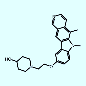 Cc1c2ccncc2cc2c3cc(OCCN4CCC(O)CC4)ccc3n(C)c12